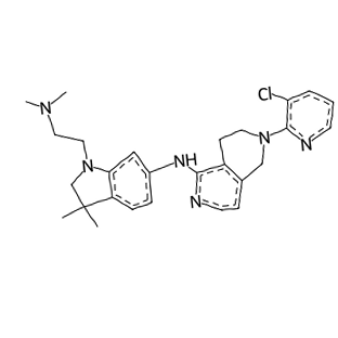 CN(C)CCN1CC(C)(C)c2ccc(Nc3nccc4c3CCN(c3ncccc3Cl)C4)cc21